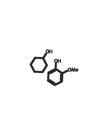 COc1ccccc1O.OC1CCCCC1